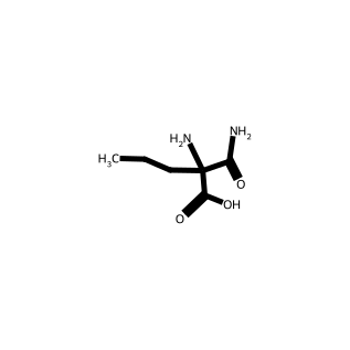 CCCC(N)(C(N)=O)C(=O)O